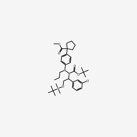 CCCN(c1ccc(C2(C(=O)OC)CCCC2)cc1)N(C(=O)OC(C)(C)C)C(CO[Si](C)(C)C(C)(C)C)c1cccc(Cl)c1